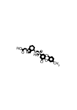 Cc1ccc(Cl)c(Oc2ccc(S(=O)(=O)CN[C@@H]3CCCc4c3cnn4CC(=O)O)cc2Cl)c1